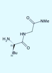 CC[C@H](C)[C@H](N)C(=O)NCC(=O)NC